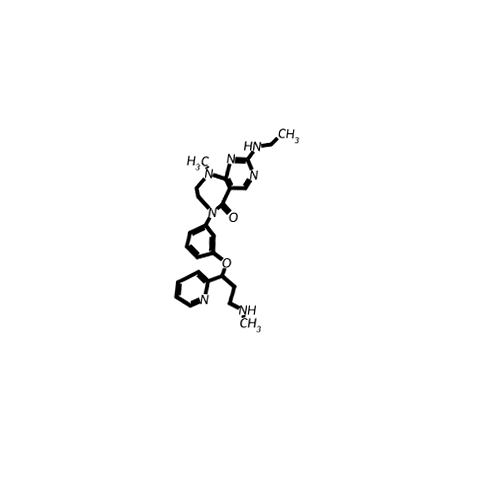 CCNc1ncc2c(n1)N(C)CCN(c1cccc(OC(CCNC)c3ccccn3)c1)C2=O